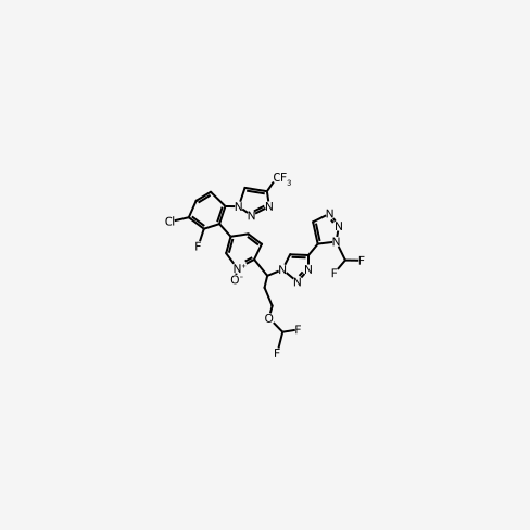 [O-][n+]1cc(-c2c(-n3cc(C(F)(F)F)nn3)ccc(Cl)c2F)ccc1C(CCOC(F)F)n1cc(-c2cnnn2C(F)F)nn1